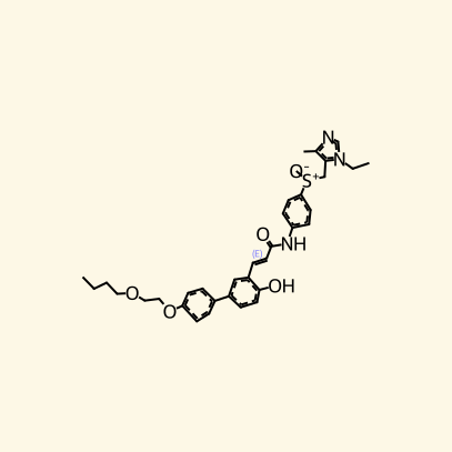 CCCCOCCOc1ccc(-c2ccc(O)c(/C=C/C(=O)Nc3ccc([S+]([O-])Cc4c(C)ncn4CC)cc3)c2)cc1